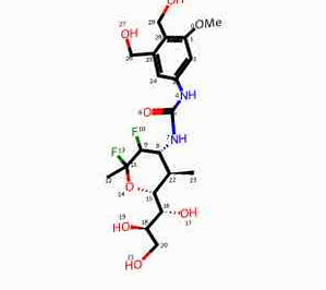 COc1cc(NC(=O)N[C@H]2C(F)C(C)(F)O[C@@H]([C@H](O)[C@H](O)CO)[C@@H]2C)cc(CO)c1CO